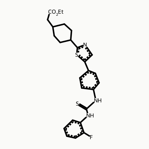 CCOC(=O)CC1CCC(c2ncc(-c3ccc(NC(=S)Nc4ccccc4F)cc3)s2)CC1